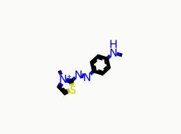 CNc1ccc(N=Nc2scc[n+]2C)cc1